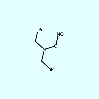 CC(C)CN(CC(C)C)ON=O